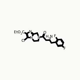 CCOC(=O)c1nc2n(c1Cl)CCN(C(=O)C[C@H](N)Cc1cc(F)ccc1F)C2